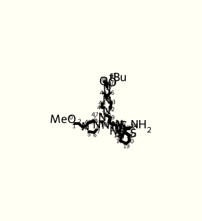 COCCCN1CCCN(c2nc(-c3noc([C@@]4(C)CCCc5sc(N)c(C#N)c54)n3)cc(N3CCN(C4CN(C(=O)OC(C)(C)C)C4)CC3)n2)[C@@H](C)C1